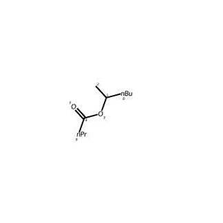 CCCCC(C)OC(=O)CCC